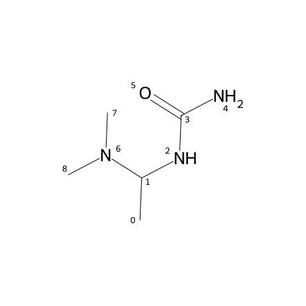 CC(NC(N)=O)N(C)C